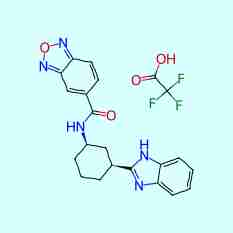 O=C(N[C@@H]1CCC[C@H](c2nc3ccccc3[nH]2)C1)c1ccc2nonc2c1.O=C(O)C(F)(F)F